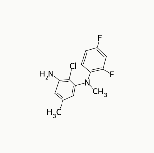 Cc1cc(N)c(Cl)c(N(C)c2ccc(F)cc2F)c1